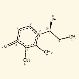 Cc1c(O)c(=O)ccn1[C@H](CO)C(C)C